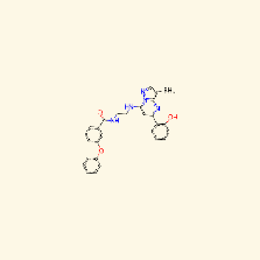 Bc1cnn2c(NCCNC(=O)c3cccc(Oc4ccccc4)c3)cc(-c3ccccc3O)nc12